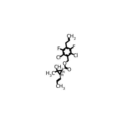 C=CCc1c(F)c(Cl)c(COC(=O)[C@@H]2[C@@H](C=CC)C2(C)C)c(Cl)c1F